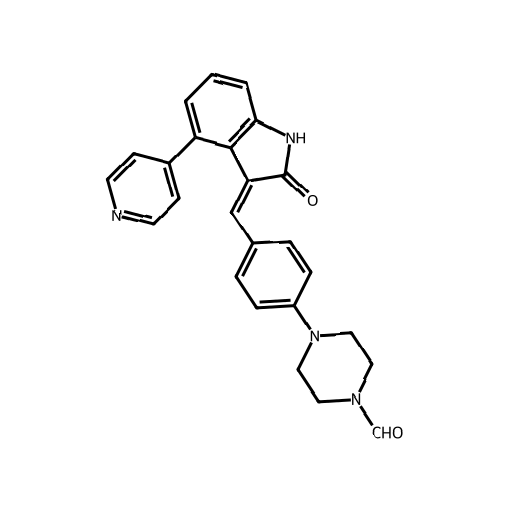 O=CN1CCN(c2ccc(/C=C3\C(=O)Nc4cccc(-c5ccncc5)c43)cc2)CC1